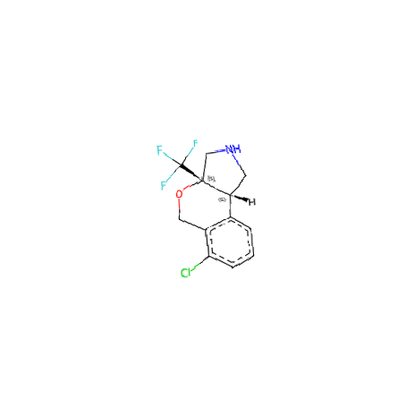 FC(F)(F)[C@@]12CNC[C@@H]1c1cccc(Cl)c1CO2